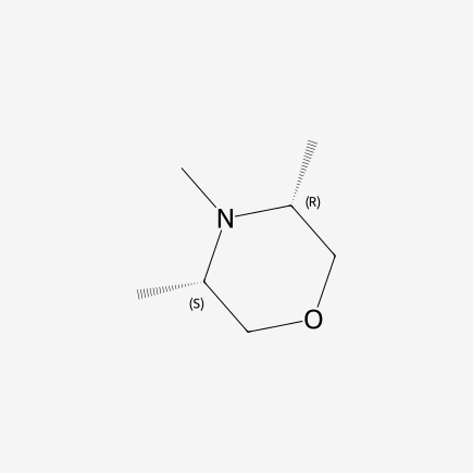 C[C@@H]1COC[C@H](C)N1C